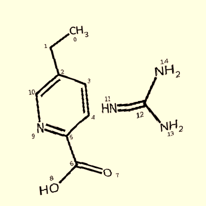 CCc1ccc(C(=O)O)nc1.N=C(N)N